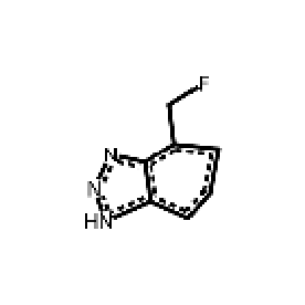 FCc1cccc2[nH]nnc12